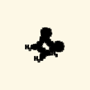 Cc1ccc(N(c2ccc(C)cc2)c2ccc3cc(N(c4ccc(C)cc4)c4ccc(C)cc4)ccc3c2)cc1.c1ccc(N(c2ccc(-c3ccc(N(c4ccccc4)c4cc5ccc6ccc7ccc8ccc9ccc4c4c9c8c7c6c54)cc3)cc2)c2cc3ccc4ccc5ccc6ccc7ccc2c2c7c6c5c4c32)cc1